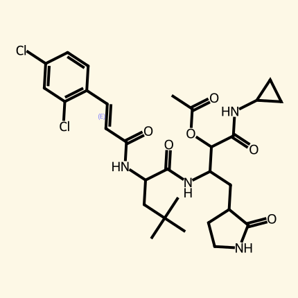 CC(=O)OC(C(=O)NC1CC1)C(CC1CCNC1=O)NC(=O)C(CC(C)(C)C)NC(=O)/C=C/c1ccc(Cl)cc1Cl